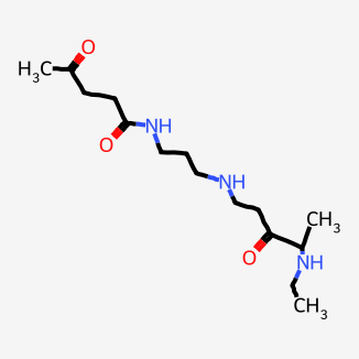 CCNC(C)C(=O)CCNCCCNC(=O)CCC(C)=O